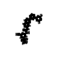 C[C@@H]1CN(c2cccc(-c3ccc4cnc(CC(=O)N[C@@H]5C[C@H](O)CN(S(=O)(=O)C(F)F)C5)cc4n3)n2)C[C@H](C)O1